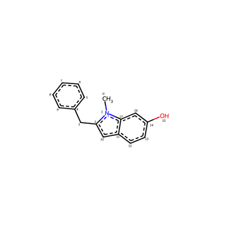 Cn1c(Cc2ccccc2)cc2ccc(O)cc21